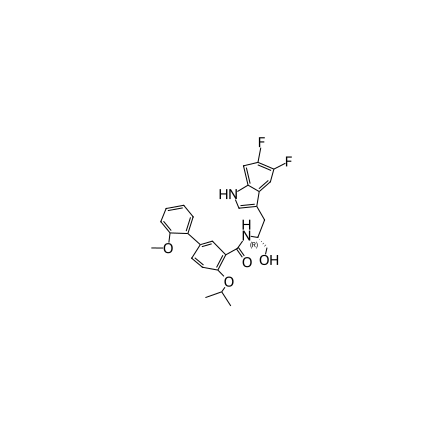 COc1ccccc1-c1ccc(OC(C)C)c(C(=O)N[C@@H](CO)Cc2c[nH]c3cc(F)c(F)cc23)c1